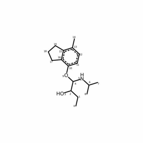 CCC(O)C(NC(C)C)Oc1ccc(C)c2c1CCC2